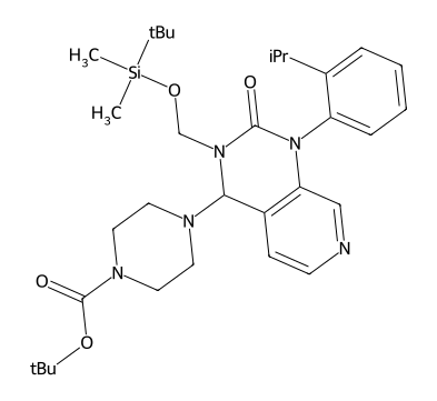 CC(C)c1ccccc1N1C(=O)N(CO[Si](C)(C)C(C)(C)C)C(N2CCN(C(=O)OC(C)(C)C)CC2)c2ccncc21